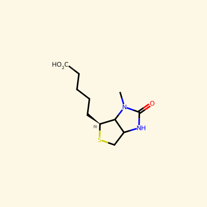 CN1C(=O)NC2CS[C@@H](CCCCC(=O)O)C21